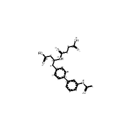 CC(=O)Nc1cccc(-c2ccc(CC(CC(=O)O)NC(=O)CCC(=O)O)cc2)c1